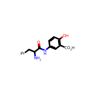 CC(C)CC(N)C(=O)Nc1ccc(O)c(C(=O)O)c1